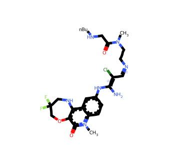 CCCCNCC(=O)N(C)CC/N=C\C(Cl)=C(/N)Nc1ccc2c(c1)c1c(c(=O)n2C)OCC(F)(F)CN1